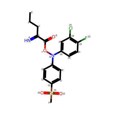 CCCC(=N)C(=O)ON(c1ccc(S(C)(=O)=O)cc1)c1ccc(F)c(Cl)c1